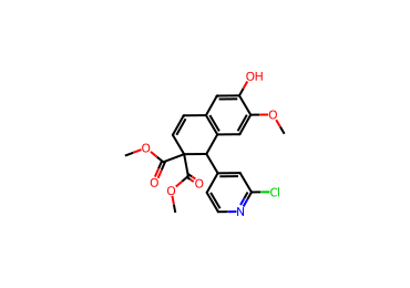 COC(=O)C1(C(=O)OC)C=Cc2cc(O)c(OC)cc2C1c1ccnc(Cl)c1